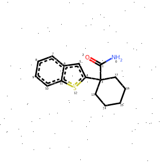 NC(=O)C1(c2cc3ccccc3s2)CCCCC1